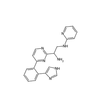 NC(CNc1ccccn1)c1nccc(-c2ccccc2-c2c[nH]cn2)n1